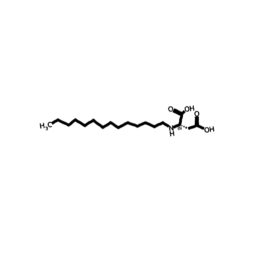 CCCCCCCCCCCCCCN[C@@H](CC(=O)O)C(=O)O